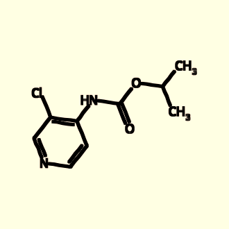 CC(C)OC(=O)Nc1ccncc1Cl